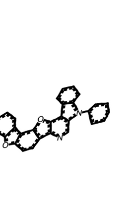 c1ccc(-n2c3ccccc3c3c4oc5c(ccc6oc7ccccc7c65)c4ncc32)cc1